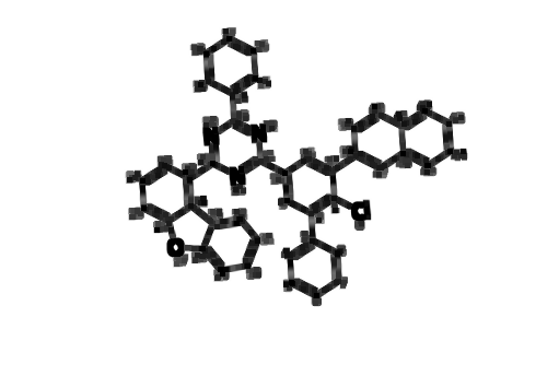 Clc1c(-c2ccccc2)cc(-c2nc(-c3ccccc3)nc(-c3cccc4oc5ccccc5c34)n2)cc1-c1ccc2ccccc2c1